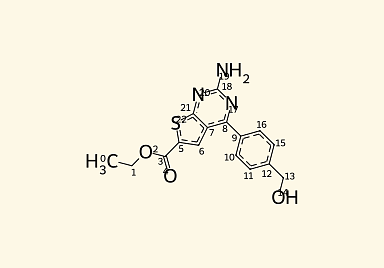 CCOC(=O)c1cc2c(-c3ccc(CO)cc3)nc(N)nc2s1